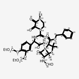 CCOC(=O)Oc1ccc(C(NC(=O)N2CCN(CC)C(=O)C2=O)C(=O)N[C@@]2(C(=O)OCc3ccccc3)N3C(=O)[C@@H](NC=O)[C@H]3SC2(C)C)cc1OC(=O)OCC